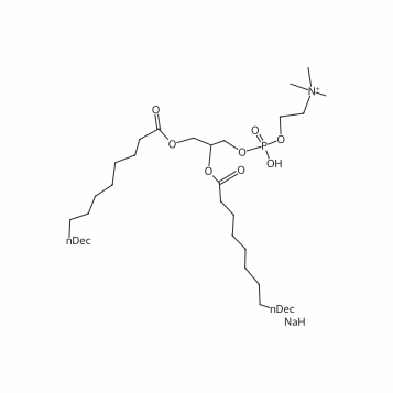 CCCCCCCCCCCCCCCCCC(=O)OCC(COP(=O)(O)OCC[N+](C)(C)C)OC(=O)CCCCCCCCCCCCCCCCC.[NaH]